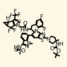 Cn1nc(NS(C)(=O)=O)c2cccc(-c3cc4sc(N5CCC(C)(NC(=O)OC(C)(C)C)CC5)nc4nc3C(Cc3cc(F)cc(F)c3)NC(=O)Cn3nc(C(F)(F)F)c4c3C(F)(F)C3C[C@H]43)c21